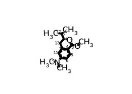 COC(=O)c1ccc(N(C)C)cc1CCC(C)C